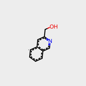 OCc1cc2[c]cccc2cn1